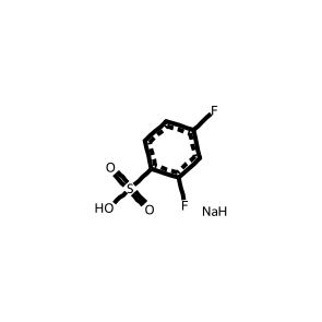 O=S(=O)(O)c1ccc(F)cc1F.[NaH]